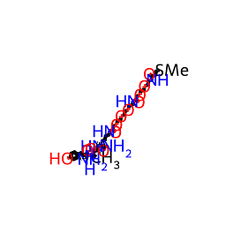 CSCCC(=O)NCCOCCOCC(=O)NCCOCCOCCOCC(=O)NCCCC[C@H](NCC(=O)C(C)NC(=O)[C@@H](N)Cc1ccc(O)cc1)C(N)=O